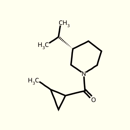 CC1CC1C(=O)N1CCC[C@@H](C(C)C)C1